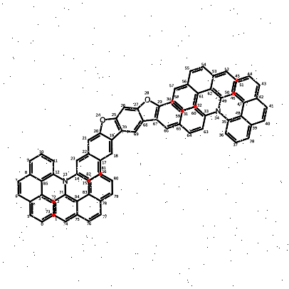 c1ccc2c(c1)ccc1cccc(N(c3ccc4cc5c(cc4c3)oc3cc4oc6cc7cc(N(c8cccc9ccc%10ccccc%10c89)c8cccc9ccc%10ccccc%10c89)ccc7cc6c4cc35)c3cccc4ccc5ccccc5c34)c12